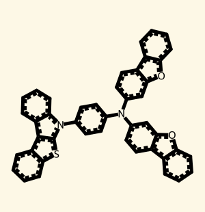 c1ccc2c(c1)oc1cc(N(c3ccc(-n4c5ccccc5c5c6ccccc6sc54)cc3)c3ccc4c(c3)oc3ccccc34)ccc12